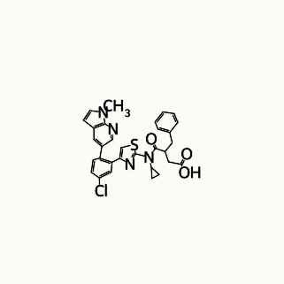 Cn1ccc2cc(-c3ccc(Cl)cc3-c3csc(N(C(=O)C(CC(=O)O)Cc4ccccc4)C4CC4)n3)cnc21